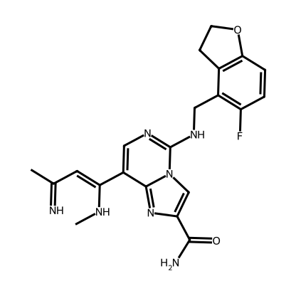 CN/C(=C\C(C)=N)c1cnc(NCc2c(F)ccc3c2CCO3)n2cc(C(N)=O)nc12